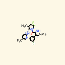 CN/C=C(\C(=N)C(=O)N1CC(F)(F)CC(C)[C@H]1CNc1ccc(C(F)(F)F)cn1)c1cccc(Cl)c1